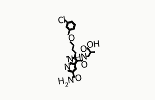 CC(CNC(=O)c1c(CCCCOCc2cccc(Cl)c2)n(C)c2ncc(C(N)=O)cc12)C(=O)O